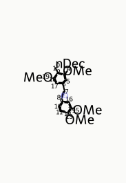 CCCCCCCCCCCc1c(OC)cc(/C=C/c2ccc(OC)c(OC)c2)cc1OC